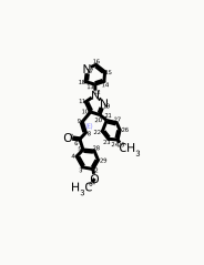 COc1ccc(C(=O)/C=C/c2cn(-c3cccnc3)nc2-c2ccc(C)cc2)cc1